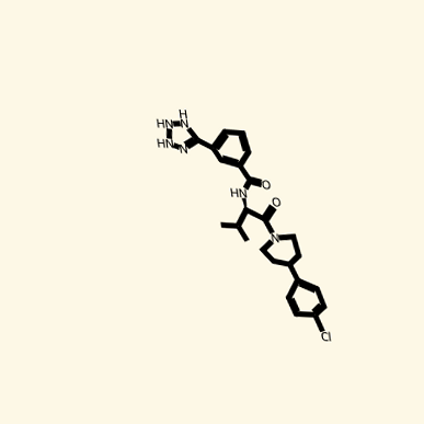 CC(C)[C@@H](NC(=O)c1cccc(C2=NNNN2)c1)C(=O)N1CCC(c2ccc(Cl)cc2)CC1